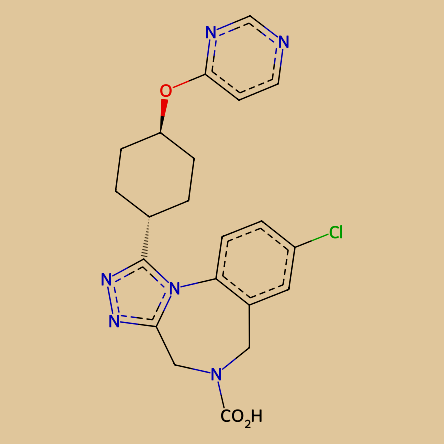 O=C(O)N1Cc2cc(Cl)ccc2-n2c(nnc2[C@H]2CC[C@H](Oc3ccncn3)CC2)C1